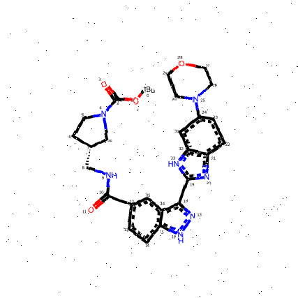 CC(C)(C)OC(=O)N1CC[C@@H](CNC(=O)c2ccc3[nH]nc(-c4nc5ccc(N6CCOCC6)cc5[nH]4)c3c2)C1